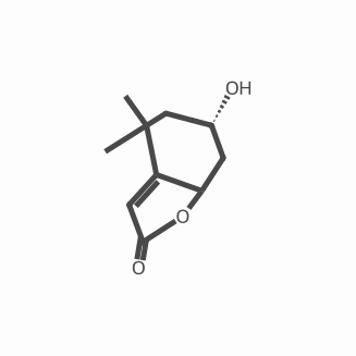 CC1(C)C[C@H](O)CC2OC(=O)C=C21